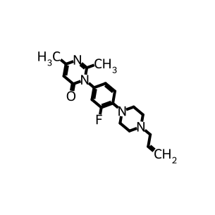 C=CCN1CCN(c2ccc(-n3c(C)nc(C)cc3=O)cc2F)CC1